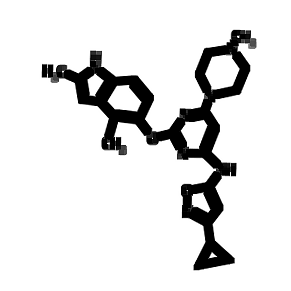 Cc1cc2c(C)c(Oc3nc(Nc4cc(C5CC5)no4)cc(N4CCN(C)CC4)n3)ccc2[nH]1